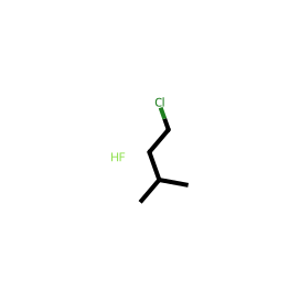 CC(C)CCCl.F